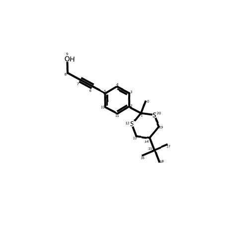 CC1(c2ccc(C#CCO)cc2)SCC(C(C)(C)C)CS1